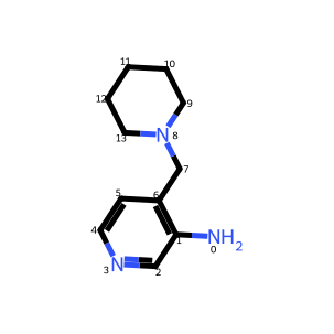 Nc1cnccc1CN1CCCCC1